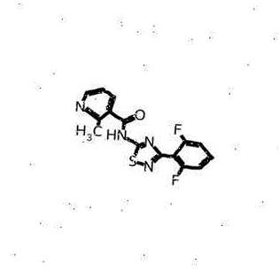 Cc1ncccc1C(=O)Nc1nc(-c2c(F)cccc2F)ns1